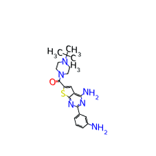 CC(C)(C)N1CCN(C(=O)c2cc3c(N)nc(-c4cccc(N)c4)nc3s2)CC1